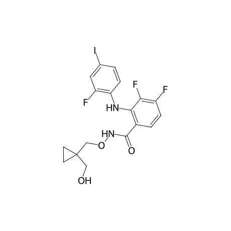 O=C(NOCC1(CO)CC1)c1ccc(F)c(F)c1Nc1ccc(I)cc1F